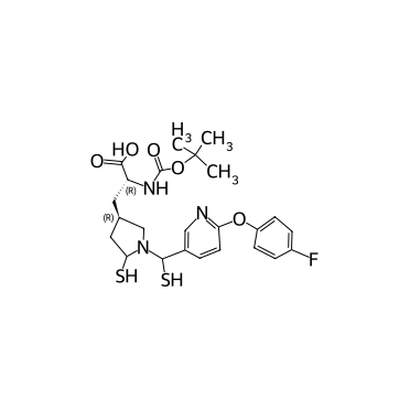 CC(C)(C)OC(=O)N[C@H](C[C@@H]1CC(S)N(C(S)c2ccc(Oc3ccc(F)cc3)nc2)C1)C(=O)O